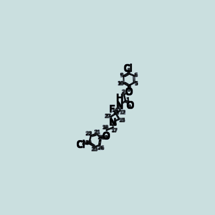 O=C(COc1ccc(Cl)cc1)NCC1(F)CN(CCOc2ccc(Cl)cc2)C1